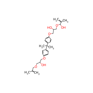 C=C(C)COCC(O)COc1ccc(C(C)(C)c2ccc(OCC(O)COC(O)C(=C)C)cc2)cc1